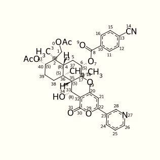 CC(=O)OC[C@@]1(C)[C@@H]2C[C@H](OC(=O)c3ccc(C#N)cc3)[C@@]3(C)Oc4cc(-c5cccnc5)oc(=O)c4[C@H](O)[C@@H]3[C@@]2(C)CC[C@@H]1OC(C)=O